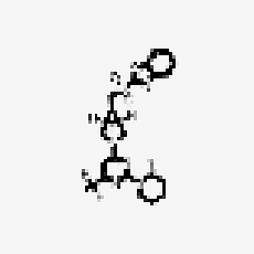 C[C@H]1CCCCN1c1nc(N2C[C@@H]3C(CS(=O)(=O)c4nc5ccccc5s4)[C@@H]3C2)cc(C(F)(F)F)n1